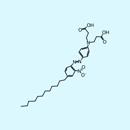 CCCCCCCCCCCCc1ccc(N=Nc2ccc(N(CCC(=O)O)CCC(=O)O)cc2)c([N+](=O)[O-])c1